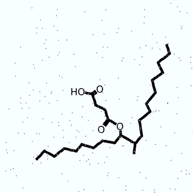 CCCCCCCCCCC(C)C(CCCCCCCCC)OC(=O)CCC(=O)O